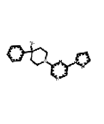 OC1(c2ccccc2)CCN(c2cncc(-n3cccn3)n2)CC1